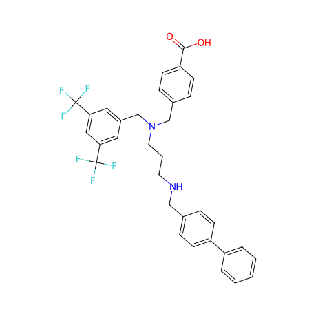 O=C(O)c1ccc(CN(CCCNCc2ccc(-c3ccccc3)cc2)Cc2cc(C(F)(F)F)cc(C(F)(F)F)c2)cc1